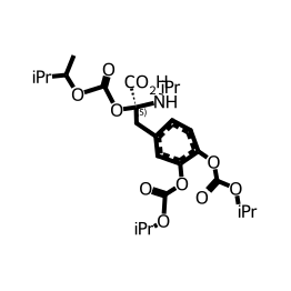 CC(C)N[C@@](Cc1ccc(OC(=O)OC(C)C)c(OC(=O)OC(C)C)c1)(OC(=O)OC(C)C(C)C)C(=O)O